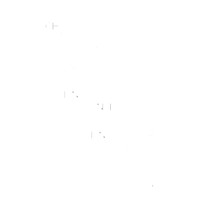 C=CC(=O)NNNC(=O)C=C